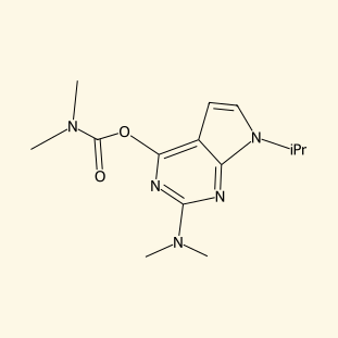 CC(C)n1ccc2c(OC(=O)N(C)C)nc(N(C)C)nc21